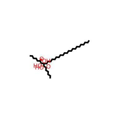 CCCCCCCCCCCCCCCCCCCCCCC(O)(C(O)C(=O)CCCCC)C(O)C(=O)CCCCC